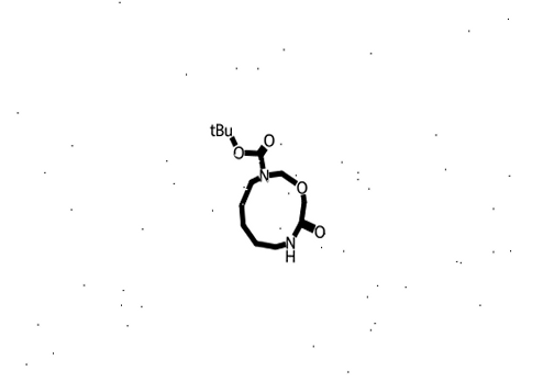 CC(C)(C)OC(=O)N1CCCCCNC(=O)COC1